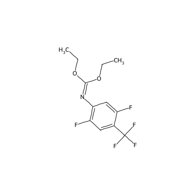 CCOC(=Nc1cc(F)c(C(F)(F)F)cc1F)OCC